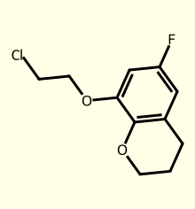 Fc1cc2c(c(OCCCl)c1)OCCC2